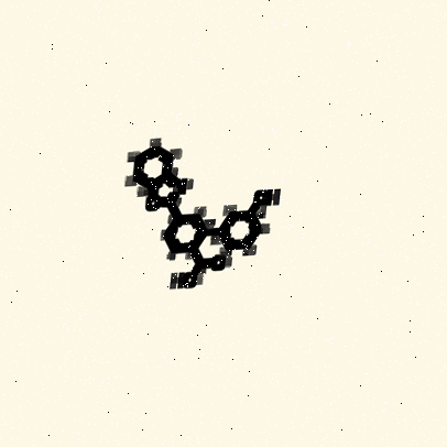 O=C(O)c1ccc(-c2nc3ccccc3o2)cc1-c1cccc(O)c1